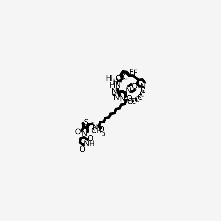 C[C@H]1Nc2ncnc3c2cc(N2CCOCC2)c(=O)n3C(CCCCCCCCCCC(=O)N(C)Cc2scc3c2CN(C2CCC(=O)NC2=O)C3=O)CCCCCCN2CCC(CC2)C(F)(F)c2cccc1c2